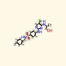 CC[C@H](CO)Nc1nc(Nc2ccc(S(=O)(=O)NCc3ccc(C)cc3)cc2)ncc1Br